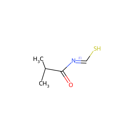 CC(C)C(=O)/N=C/S